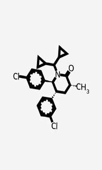 C[C@@H]1C[C@H](c2cccc(Cl)c2)[C@@H](c2ccc(Cl)cc2)N(C(C2CC2)C2CC2)C1=O